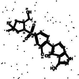 Nc1n[nH]c2ccc(-c3ccc(S(=O)(=O)N4CC(F)(F)C[C@H]4CO)cc3Cl)c(Cl)c12